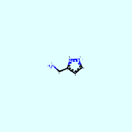 N[CH]c1cc[nH]n1